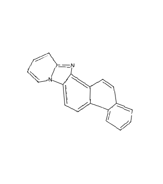 c1ccc2c(c1)ccc1c2ccc2c1nc1ccccn12